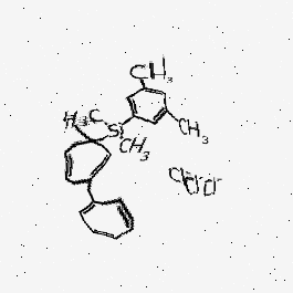 Cc1cc(C)cc([Si](C)(C)[C]2([Ti+3])C=CC(c3ccccc3)=C2)c1.[Cl-].[Cl-].[Cl-]